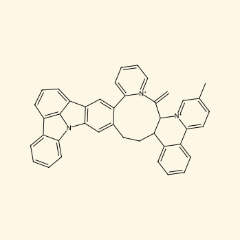 C=C1C2C(CCc3cc4c(cc3-c3cccc[n+]31)c1cccc3c5ccccc5n4c31)c1ccccc1-c1ccc(C)c[n+]12